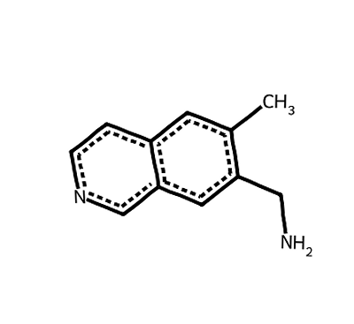 Cc1cc2ccncc2cc1CN